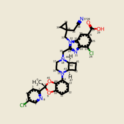 C[C@]1(c2ccc(Cl)cn2)Oc2cccc(N3CCN(Cc4nc5c(Cl)cc(C(=O)O)cc5n4CC4(CC#N)CC4)[C@H]4CC[C@H]43)c2O1